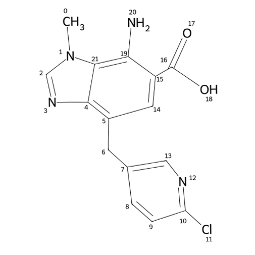 Cn1cnc2c(Cc3ccc(Cl)nc3)cc(C(=O)O)c(N)c21